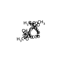 CCOC(=O)C1OC2(COCCOC(=O)COCCOC3(COCCO2)OC(C(=O)OCC)C(C2OC(C)O2)O3)OC1C(=O)OCC